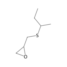 CCC(C)SCC1CO1